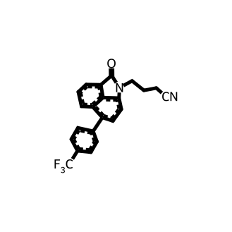 N#CCCCN1C(=O)c2cccc3c(-c4ccc(C(F)(F)F)cc4)ccc1c23